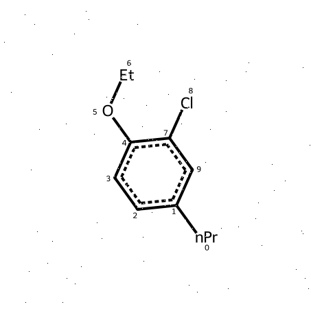 [CH2]CCc1ccc(OCC)c(Cl)c1